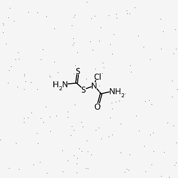 NC(=O)N(Cl)SC(N)=S